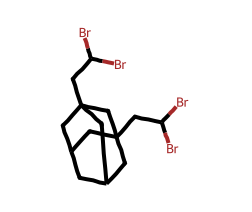 BrC(Br)CC12CC3CC(C1)CC(CC(Br)Br)(C3)C2